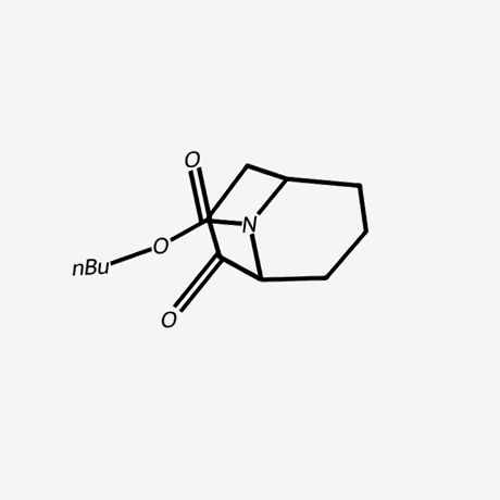 CCCCOC(=O)N1C2CCCC1C(=O)CC2